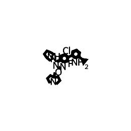 Nc1c(-c2c(Cl)cc3c(N4CC5CCC(C4)N5)nc(OCC45CCCN4CCC5)nc3c2F)cccc1C1CC1